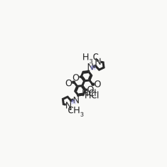 CN1CCC/C1=N\c1cc2oc(=O)c3cc(/N=C4\CCCN4C)cc4oc(=O)c(c1)c2c43.Cl.Cl